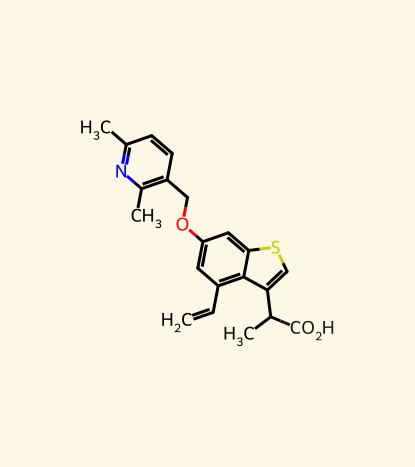 C=Cc1cc(OCc2ccc(C)nc2C)cc2scc(C(C)C(=O)O)c12